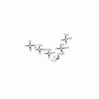 C=CS(=O)(=O)O.O=P(O)(O)F.O=P(O)(O)F.O=P(O)(O)F.O=P(O)(O)F.O=P([O-])(O)F.[Li+]